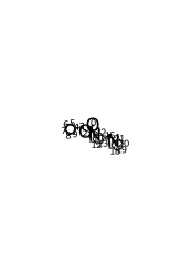 O=C(OCc1ccccc1)N1CCCC(CN2CCCCC2)C1